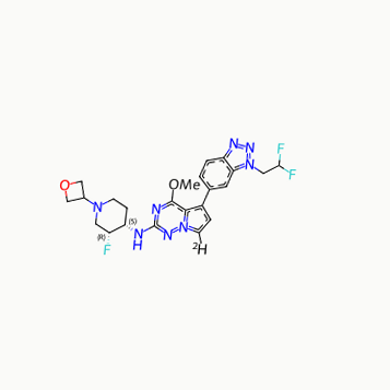 [2H]c1cc(-c2ccc3nnn(CC(F)F)c3c2)c2c(OC)nc(N[C@H]3CCN(C4COC4)C[C@H]3F)nn12